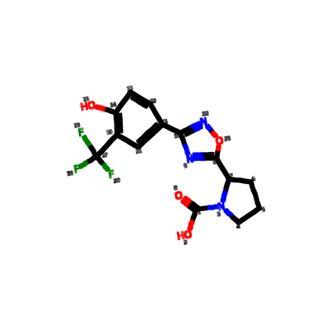 O=C(O)N1CCCC1c1nc(-c2ccc(O)c(C(F)(F)F)c2)no1